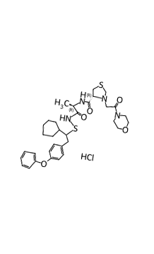 C[C@@H](NC(=O)[C@@H]1CSCN1CC(=O)N1CCOCC1)C(=O)NSC(Cc1ccc(Oc2ccccc2)cc1)C1CCCCC1.Cl